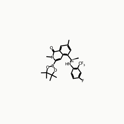 Cc1cc([C@@H](C)Nc2ccc(F)cc2C(F)(F)F)c2cc(B3OC(C)(C)C(C)(C)O3)n(C)c(=O)c2c1